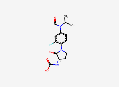 CC(C)N(C=O)c1ccc(N2CC[C@H](NC(=O)O)C2=O)c(F)c1